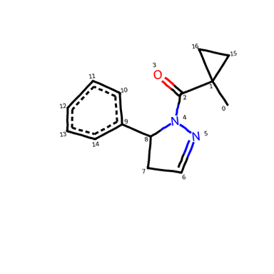 CC1(C(=O)N2N=CCC2c2ccccc2)CC1